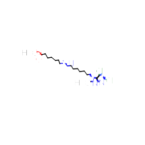 COC(=O)CCCCCCNCCCCCCCCn1c(C)nc2nc(Cl)nc(Cl)c21